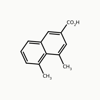 Cc1cccc2cc(C(=O)O)cc(C)c12